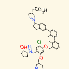 CNc1cncc(COc2cc(OCc3cccc(-c4cccc(-c5ccc6c(c5)CCC6N5CC[C@H](CC(=O)O)C5)c4C)c3C)c(Cl)cc2CN[C@@H]2CCC[C@@H]2O)c1